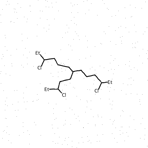 CCC(Cl)CCC[C](CCCC(Cl)CC)CCC(Cl)CC